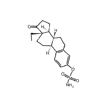 CC[C@]12CC[C@@H]3c4ccc(OS(N)(=O)=O)cc4CC[C@H]3[C@@H]1CCC2=O